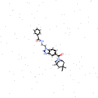 CC1(C)CC2CC(C)(CN2C(=O)c2ccc3c(c2)ncn3CCNC(=O)c2ccccc2)C1